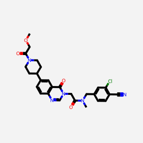 COCC(=O)N1CCC(c2ccc3ncn(CC(=O)N(C)Cc4ccc(C#N)c(Cl)c4)c(=O)c3c2)CC1